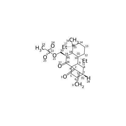 C=C1C(=O)C23CC[C@H]1CC2[C@]1(CC)CCC[C@@](C)(CC)C1[C@H](COS(C)(=O)=O)C3=O